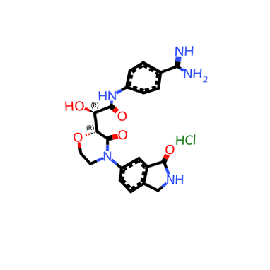 Cl.N=C(N)c1ccc(NC(=O)[C@H](O)[C@H]2OCCN(c3ccc4c(c3)C(=O)NC4)C2=O)cc1